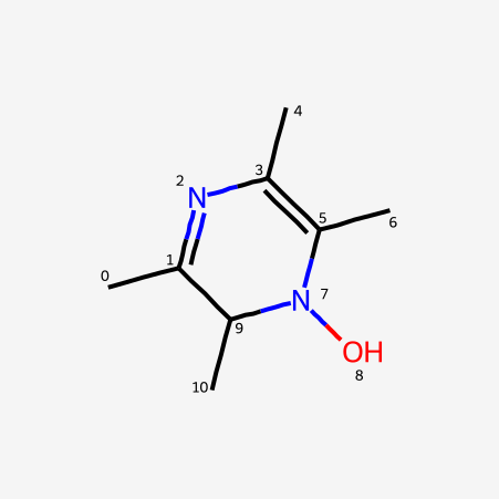 CC1=NC(C)=C(C)N(O)C1C